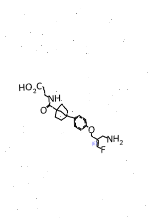 NC/C(=C\F)COc1ccc(C23CCC(C(=O)NCCC(=O)O)(CC2)CC3)cc1